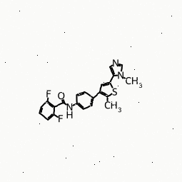 Cc1sc(-c2cncn2C)cc1-c1ccc(NC(=O)c2c(F)cccc2F)cc1